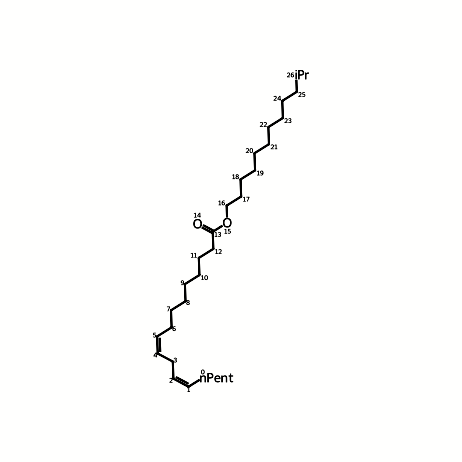 CCCCC/C=C\C/C=C\CCCCCCCC(=O)OCCCCCCCCCCC(C)C